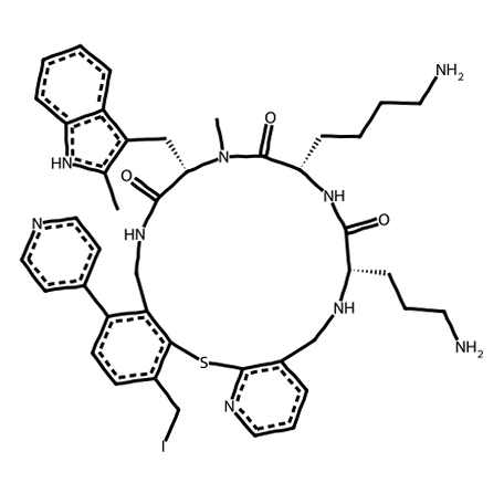 Cc1[nH]c2ccccc2c1C[C@H]1C(=O)NCc2c(-c3ccncc3)ccc(CI)c2Sc2ncccc2CN[C@@H](CCCN)C(=O)N[C@@H](CCCCN)C(=O)N1C